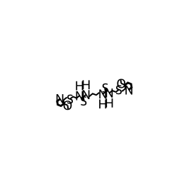 COc1cccnc1CSCCNC(=S)NCCCCNC(=S)NCCSCc1ncccc1OC